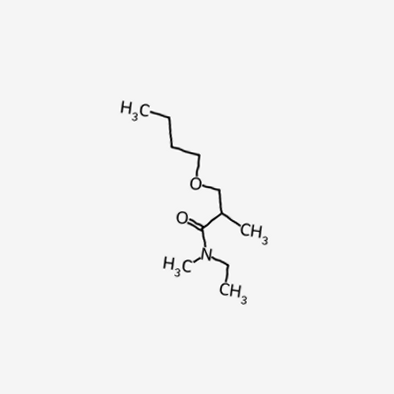 CCCCOCC(C)C(=O)N(C)CC